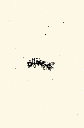 CN(CC(=O)N1CC(C(=O)Nc2ccccc2)CC1C#N)C(=O)c1ccc(F)c(C(F)(F)F)c1